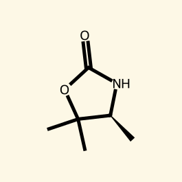 C[C@@H]1NC(=O)OC1(C)C